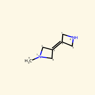 CN1CC(=C2CNC2)C1